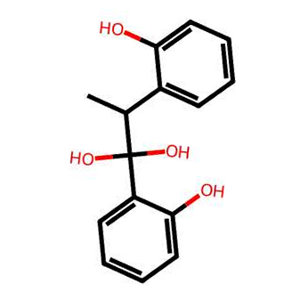 CC(c1ccccc1O)C(O)(O)c1ccccc1O